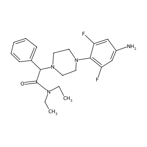 CCN(CC)C(=O)C(c1ccccc1)N1CCN(c2c(F)cc(N)cc2F)CC1